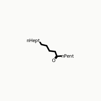 [CH2]CCCCC(=O)CCCCCCCCCCC